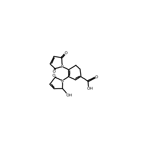 O=C(O)C1=CC(N2C(=O)C=CC2O)=C(N2C(=O)C=CC2=O)CC1